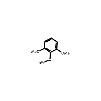 CCCOc1c(OC)c[c]cc1OC